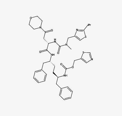 CC(C)c1nc(CN(C)C(=O)N[C@@H](CC(=O)N2CCOCC2)C(=O)N[C@H](CC[C@H](Cc2ccccc2)NC(=O)OCc2cncs2)Cc2ccccc2)cs1